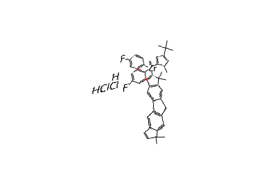 Cl.Cl.[CH2]=[Zr]([C]1=CC(C(C)(C)C)=CC1C)([C]1=Cc2cc3c(cc2C1(C)C)Cc1cc2c(cc1-3)C=CC2(C)C)([c]1ccc(F)cc1)[c]1ccc(F)cc1